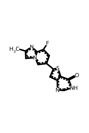 Cc1cn2cc(-c3cc4nc[nH]c(=O)c4s3)cc(F)c2n1